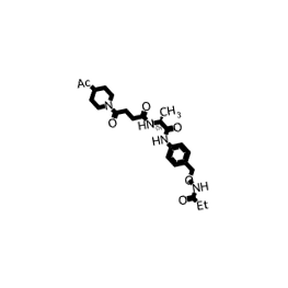 CCC(=O)NOCc1ccc(NC(=O)[C@H](C)NC(=O)CCC(=O)N2CCC(C(C)=O)CC2)cc1